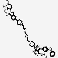 Nc1ncnc2c1c(-c1ccc(Oc3ccccc3)cc1)nn2C1CCN(CCOCCOCCN2CCC(c3ccc4c(c3)CN(C3CCC(=O)NC3=O)C4=O)CC2)CC1